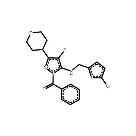 O=C(c1ccccc1)n1nc(C2CCOCC2)c(F)c1NCc1ccc(Cl)s1